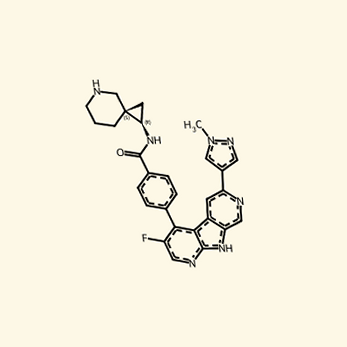 Cn1cc(-c2cc3c(cn2)[nH]c2ncc(F)c(-c4ccc(C(=O)N[C@@H]5C[C@]56CCCNC6)cc4)c23)cn1